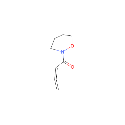 C=C=CC(=O)N1CCCCO1